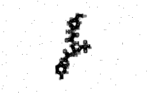 CN1CCc2nc(C(=O)N[C@H](CCS(C)(=O)=O)CNC(=O)C(=O)Nc3ccc(CI)cn3)sc2C1